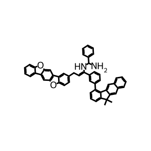 CC1(C)c2cc3ccccc3cc2-c2c(-c3cccc(/C(=C/Cc4ccc5oc6cc7c(cc6c5c4)oc4ccccc47)NC(N)c4ccccc4)c3)cccc21